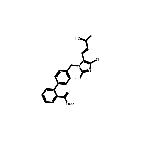 CCCCc1nc(Cl)c(/C=C/C(C)O)n1Cc1ccc(-c2ccccc2C(=O)OC)cc1